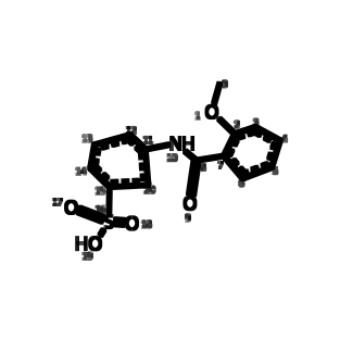 COc1ccccc1C(=O)Nc1cccc(S(=O)(=O)O)c1